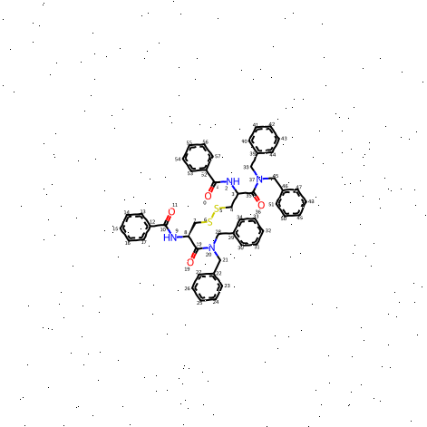 O=C(NC(CSSC[C@H](NC(=O)c1ccccc1)C(=O)N(Cc1ccccc1)Cc1ccccc1)C(=O)N(Cc1ccccc1)Cc1ccccc1)c1ccccc1